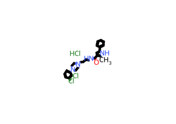 Cc1[nH]c(-c2ccccc2)cc1C(=O)NCCCCN1CCN(c2cccc(Cl)c2Cl)CC1.Cl